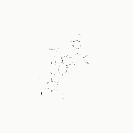 C=CC(=O)Nc1cn(C)nc1Nc1cc2c(NC3CCOC3)c(C(=O)c3c(F)c(OC)cc(OC)c3F)ccc2cn1